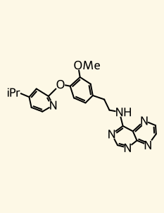 COc1cc(CCNc2ncnc3nccnc23)ccc1Oc1cc(C(C)C)ccn1